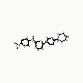 CN(C)c1ccc(Nc2nccc(-c3ccc(N4CCNCC4)nc3)n2)cc1